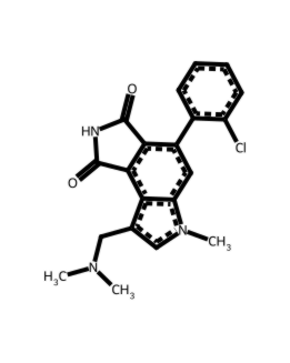 CN(C)Cc1cn(C)c2cc(-c3ccccc3Cl)c3c(c12)C(=O)NC3=O